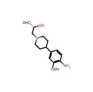 COc1cc(C2CCN(C[C@@H](O)C=O)CC2)ccc1N